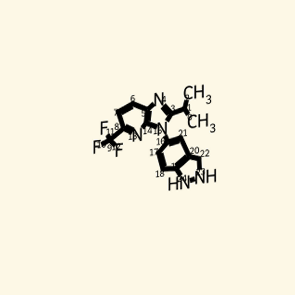 CC(C)c1nc2ccc(C(F)(F)F)nc2n1-c1ccc2c(c1)CNN2